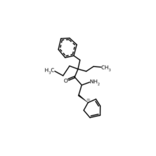 CCCC(CCC)(Cc1ccccc1)C(=O)C(N)C[C@H]1C=CC=CC1